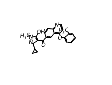 Cc1ccccc1Oc1ccnc2ccc(C(=O)c3c(C4CC4)nn(C)c3O)cc12